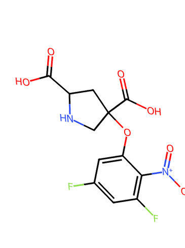 O=C(O)C1CC(Oc2cc(F)cc(F)c2[N+](=O)[O-])(C(=O)O)CN1